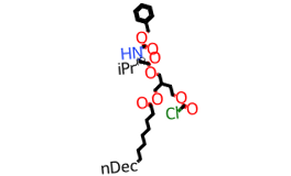 CCCCCCCCCCCCCCCCCC(=O)OCC(CCOC(=O)Cl)COC(=O)[C@@H](NC(=O)OCc1ccccc1)C(C)C